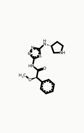 CO[C@@H](C(=O)Nc1nnc(N[C@@H]2CCNC2)s1)c1ccccc1